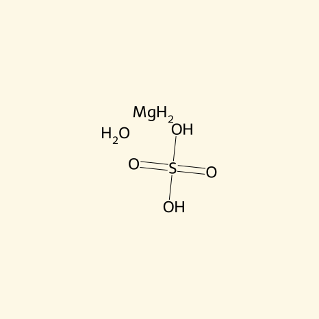 O.O=S(=O)(O)O.[MgH2]